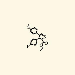 CCOC(=O)c1scc(-c2ccc(SC)cc2)c1-c1ccc(F)cc1